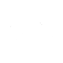 CC#N.O=C(CBr)c1ccc(Br)cc1